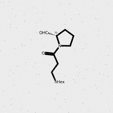 CCCCCCCCC(=O)N1CCC[C@H]1C=O